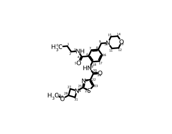 CCCNC(=O)c1cc(CN2CCOCC2)ccc1NC(=O)c1csc(N2CC(OC)C2)n1